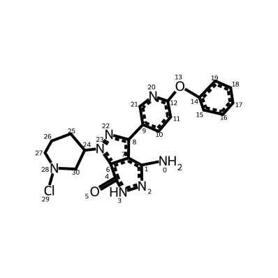 Nc1n[nH]c(=O)c2c1c(-c1ccc(Oc3ccccc3)nc1)nn2C1CCCN(Cl)C1